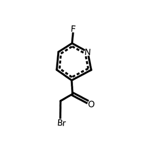 O=C(CBr)c1ccc(F)nc1